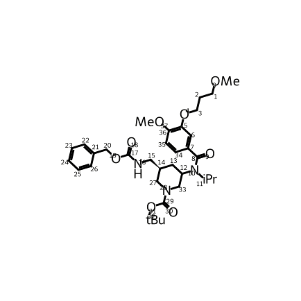 COCCCOc1cc(C(=O)N(C(C)C)C2C[C@H](CNC(=O)OCc3ccccc3)CN(C(=O)OC(C)(C)C)C2)ccc1OC